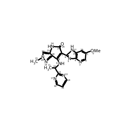 COc1cnc2nc(-c3c(NC(C)c4ncccn4)c4nn(C)cc4[nH]c3=O)[nH]c2c1